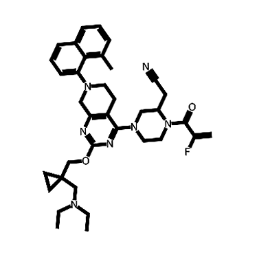 C=C(F)C(=O)N1CCN(c2nc(OCC3(CN(CC)CC)CC3)nc3c2CCN(c2cccc4cccc(C)c24)C3)CC1CC#N